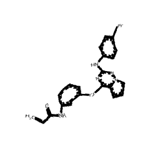 C=CC(=O)Nc1cccc(Oc2nc(Nc3ccc(C(C)C)cc3)nn3cccc23)c1